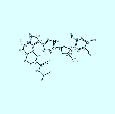 CC(C)OC(=O)N1CCC(O[C@H](C)c2noc(-c3cnc(N4C[C@H](c5cc(F)c(F)cc5F)[C@@H](N)C4)nc3)n2)CC1